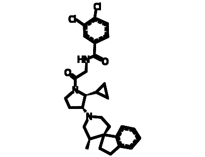 C[C@H]1CN([C@@H]2CCN(C(=O)CNC(=O)c3ccc(Cl)c(Cl)c3)[C@@H]2C2CC2)CC[C@@]12CCc1ccccc12